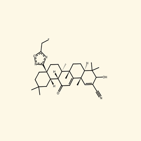 CC1(C)CC[C@]2(c3noc(CF)n3)CC[C@]3(C)[C@H](C(=O)C=C4[C@@]5(C)C=C(C#N)C(O)C(C)(C)[C@@H]5CC[C@]43C)[C@@H]2C1